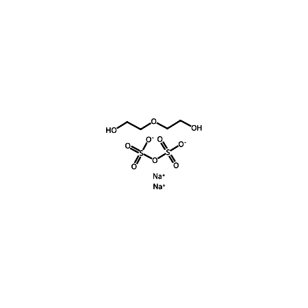 O=S(=O)([O-])OS(=O)(=O)[O-].OCCOCCO.[Na+].[Na+]